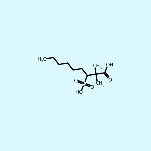 CCCCCCC(C(C)(C)C(=O)O)S(=O)(=O)O